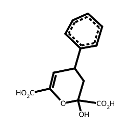 O=C(O)C1=CC(c2ccccc2)CC(O)(C(=O)O)O1